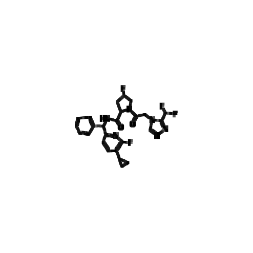 O=C(NC(c1ccccc1)c1ccc(C2CC2)c(F)n1)C1CC(F)CN1C(=O)Cn1cnnc1C(F)F